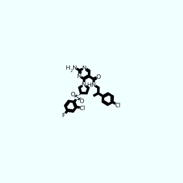 CC(CNC(=O)c1cnc(N)nc1N1CC[C@H](S(=O)(=O)c2ccc(F)cc2Cl)C1)c1ccc(Cl)cc1